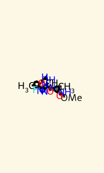 COCC(=O)N[C@@H]1CC[C@@H](NC(=O)c2c(C)[nH]c3c(-c4c(OCC5CC5)ccc(C)c4F)ncnc23)C[C@H]1C